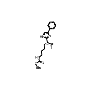 CC(C)(C)OC(=O)NCCCC[C@H](NI)c1nc(-c2ccccc2)c[nH]1